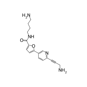 NCC#Cc1ccc(-c2ccc(C(=O)NCCCCN)o2)cn1